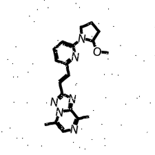 COC1CCCN1c1cccc(/C=C/c2nc3c(C)ncc(C)n3n2)n1